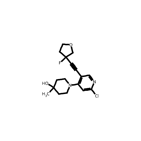 CC1(O)CCN(c2cc(Cl)ncc2C#CC2(F)CCOC2)CC1